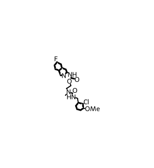 COc1cccc(CNC(=O)N(C)CCOC(=O)Nc2cc3cc(F)ccc3cn2)c1Cl